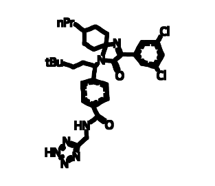 CCCC1CCC2(CC1)N=C(c1cc(Cl)cc(Cl)c1)C(=O)N2C(CCC(C)(C)C)c1ccc(C(=O)NCc2nn[nH]n2)cc1